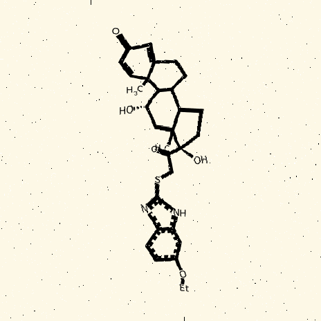 CCOc1ccc2nc(SCC(=O)[C@@]3(O)CCC4C5CCC6=CC(=O)C=CC6(C)C5[C@@H](O)CC43C)[nH]c2c1